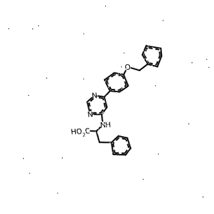 O=C(O)C(Cc1ccccc1)Nc1cc(-c2ccc(OCc3ccccc3)cc2)ncn1